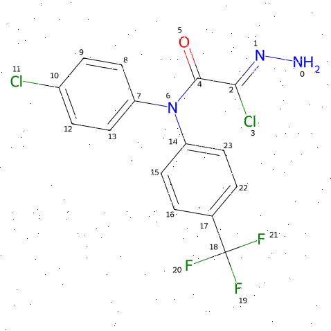 NN=C(Cl)C(=O)N(c1ccc(Cl)cc1)c1ccc(C(F)(F)F)cc1